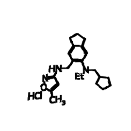 CCN(CC1CCCC1)c1cc2c(cc1CNc1cc(C)on1)CCC2.Cl